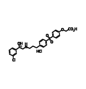 Cl.O=C(O)COc1ccc(S(=O)(=O)c2ccc(CCCNC[C@H](O)c3cccc(Cl)c3)cc2)cc1